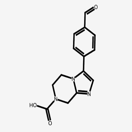 O=Cc1ccc(-c2cnc3n2CCN(C(=O)O)C3)cc1